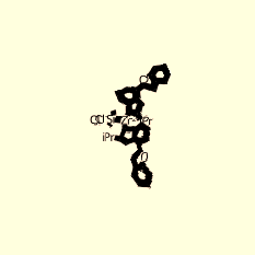 CC(C)C1=Cc2c(-c3cc4ccccc4o3)cccc2[CH]1[Zr+2]([CH]1C(C(C)C)=Cc2c(-c3cc4ccccc4o3)cccc21)=[Si](C)C.[Cl-].[Cl-]